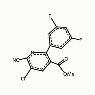 COC(=O)c1cc(Cl)c(C#N)nc1-c1cc(F)cc(F)c1